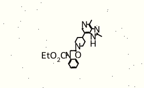 CCOC(=O)N(CC(=O)N1CCC(c2cnc(C)c3nc(C)[nH]c23)CC1)c1ccccc1